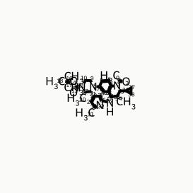 CC(=O)N1c2ccc(N3CCN(C(=O)OC(C)(C)C)C(C)C3)cc2C(Nc2cccc(C)n2)C(C)C1C1CC1